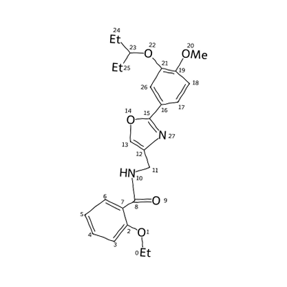 CCOc1ccccc1C(=O)NCc1coc(-c2ccc(OC)c(OC(CC)CC)c2)n1